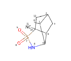 CC1C2CC3C1NS(=O)(=O)C3(C#N)C2